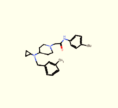 Cc1cccc(CN(C2CC2)C2CCN(CC(=O)Nc3ccc(C(C)(C)C)cc3)CC2)c1